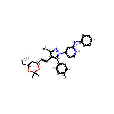 CCOC(=O)C[C@H]1C[C@@H](/C=C/c2c(C(C)CC)nn(-c3ccnc(Nc4ccccc4)c3)c2-c2ccc(F)cc2)OC(C)(C)O1